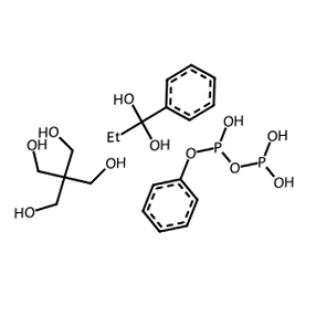 CCC(O)(O)c1ccccc1.OCC(CO)(CO)CO.OP(O)OP(O)Oc1ccccc1